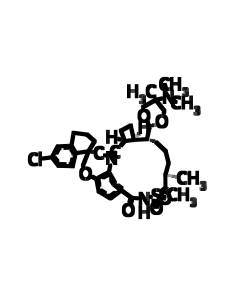 C[C@@H]1[C@@H](C)CCC[C@@H]([C@H]2OC[C@@](C)(N(C)C)CO2)[C@@H]2CC[C@H]2CN2C[C@@]3(CCCc4cc(Cl)ccc43)COc3ccc(cc32)C(=O)NS1(=O)=O